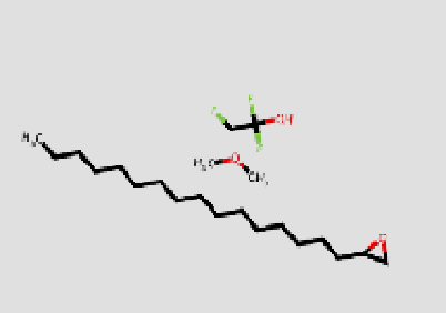 CCCCCCCCCCCCCCCCC1CO1.COC.OC(F)(F)CF